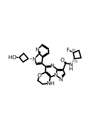 O=C(N[C@H]1CC[C@@H]1F)c1cnn2c3c(c(-c4cn([C@H]5C[C@H](O)C5)c5ncccc45)nc12)OCCN3